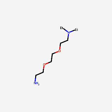 CCN(CC)CCOCCOCCN